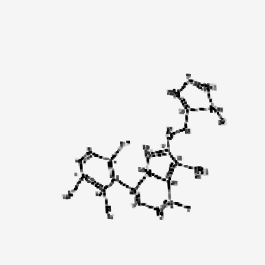 Cc1nnc(-c2c(F)ccc(F)c2F)n2nc(OCc3ncnn3C)c(C(C)(C)C)c12